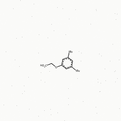 CC(C)(C)c1cc(OCC(=O)O)cc(C(C)(C)C)c1